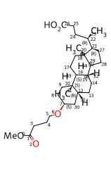 COC(=O)CCCO[C@H]1CC[C@@]2(C)[C@H](CC[C@@H]3[C@@H]2CC[C@]2(C)[C@@H]([C@H](C)CCC(=O)O)CC[C@@H]32)C1